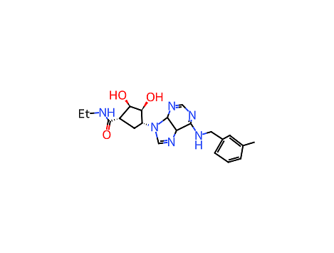 CCNC(=O)[C@H]1C[C@@H](N2C=NC3C(NCc4cccc(C)c4)=NC=NC32)[C@H](O)[C@@H]1O